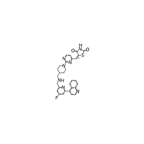 O=C1NC(=O)/C(=C\c2ccnc(N3CCC(CNCc4cc(F)cc(-c5ccnc6ccccc56)n4)CC3)n2)S1